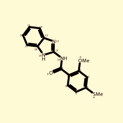 COc1cc(SC)ccc1C(=O)Nc1nc2ccccc2[nH]1